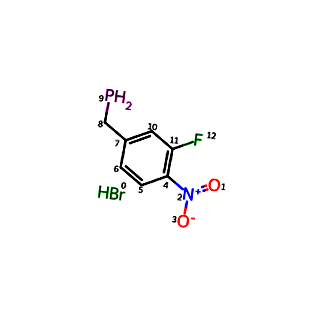 Br.O=[N+]([O-])c1ccc(CP)cc1F